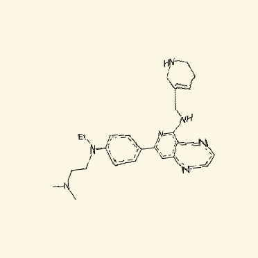 CCN(CCN(C)C)c1ccc(-c2cc3nccnc3c(NCC3=CCCNC3)n2)cc1